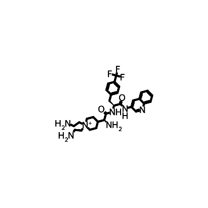 NCC[N+]1(CCN)CCC([C@H](N)C(=O)N[C@@H](Cc2ccc(C(F)(F)F)cc2)C(=O)Nc2cnc3ccccc3c2)CC1